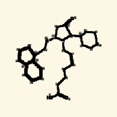 O=C(O)CCC/C=C\C[C@H]1[C@H](N2CCOCC2)C(=O)C[C@H]1OCc1cccc2ccccc12